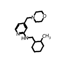 CC1CCCCC1CNc1cc(CN2CCOCC2)ccn1